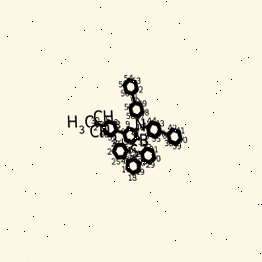 CC(C)(C)c1ccc(-c2cc3c4c(c2)S(c2ccccc2)(c2ccccc2)c2ccccc2B4c2cc(-c4ccccc4)ccc2N3c2ccc(-c3ccccc3)cc2)cc1